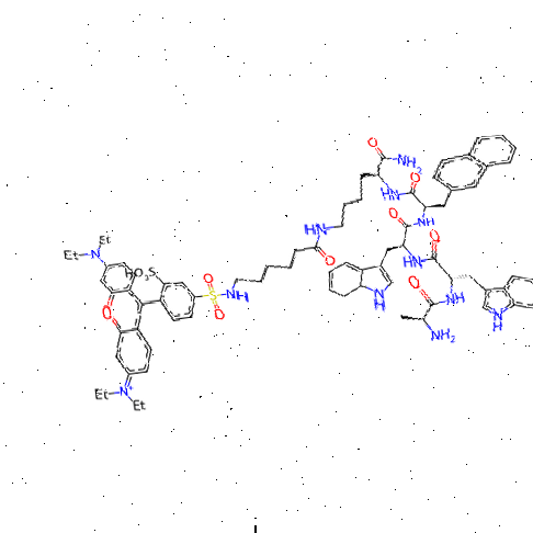 CCN(CC)c1ccc2c(-c3ccc(S(=O)(=O)NCCCCCC(=O)NCCCC[C@H](NC(=O)[C@@H](Cc4ccc5ccccc5c4)NC(=O)[C@H](CC4=CNC5CC=CC=C45)NC(=O)[C@H](Cc4c[nH]c5ccccc45)NC(=O)[C@H](C)N)C(N)=O)cc3S(=O)(=O)O)c3ccc(=[N+](CC)CC)cc-3oc2c1